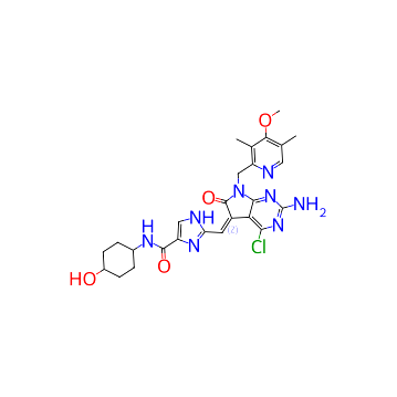 COc1c(C)cnc(CN2C(=O)/C(=C\c3nc(C(=O)NC4CCC(O)CC4)c[nH]3)c3c(Cl)nc(N)nc32)c1C